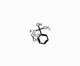 CC(=O)O.CC(O)(c1ccccc1)C(F)(F)F